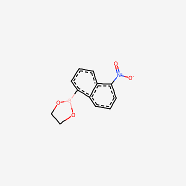 O=[N+]([O-])c1cccc2c(B3OCCO3)cccc12